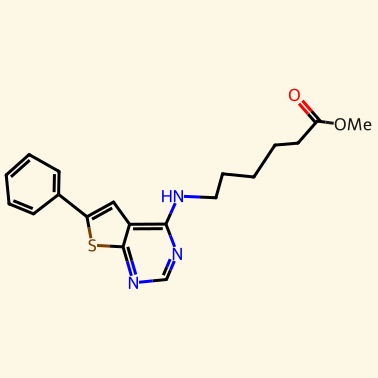 COC(=O)CCCCCNc1ncnc2sc(-c3ccccc3)cc12